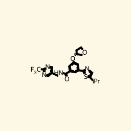 CC(C)c1cnc(-c2cc(O[C@@H]3CCOC3)cc(C(=O)NCc3cnc(C(F)(F)F)nc3)c2)s1